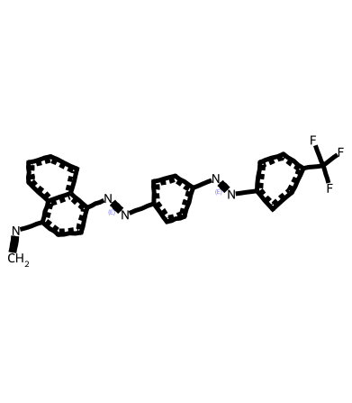 C=Nc1ccc(/N=N/c2ccc(/N=N/c3ccc(C(F)(F)F)cc3)cc2)c2ccccc12